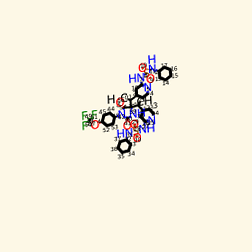 CC(c1ccnc(NS(=O)(=O)Nc2ccccc2)c1)C1(C(C)c2ccnc(NS(=O)(=O)Nc3ccccc3)c2)NC(=O)N(c2ccc(OC(F)(F)F)cc2)C1=O